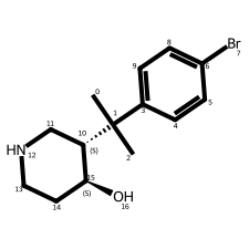 CC(C)(c1ccc(Br)cc1)[C@H]1CNCC[C@@H]1O